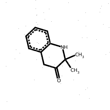 CC1(C)Nc2ccccc2CC1=O